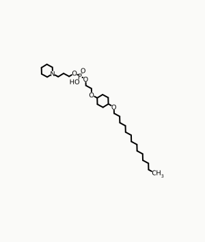 CCCCCCCCCCCCCCOC1CCC(OCCOP(=O)(O)OCCCN2CCCCC2)CC1